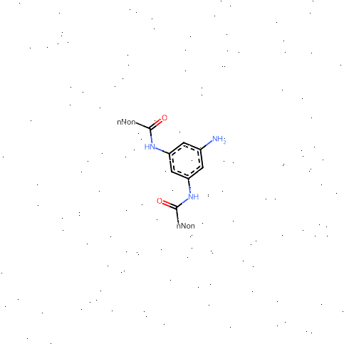 CCCCCCCCCC(=O)Nc1cc(N)cc(NC(=O)CCCCCCCCC)c1